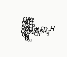 C#CCOc1cc(-n2nc(C(C)(C)C)oc2=O)c(Cl)cc1Cl.CCc1cccc(C)c1N(C(=O)CCl)C(C)COC.CP(=O)(O)CCC(N)C(=O)O